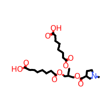 CN1CCC(C(=O)OCC(COC(=O)CCCCCCC(=O)O)COC(=O)CCCCCCC(=O)O)C1